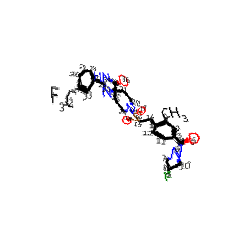 Cc1cc(C(=O)N2CC(F)C2)ccc1CCS(=O)(=O)N1CCC2(CC1)N=C(c1cccc(C(F)(F)F)c1)NC2=O